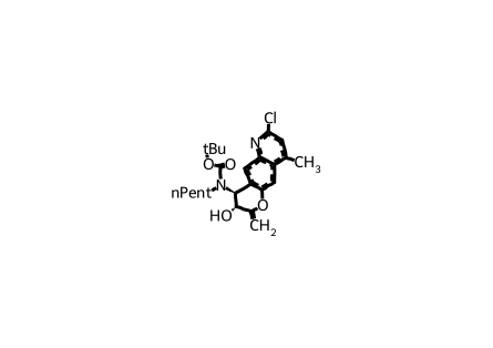 C=C1Oc2cc3c(C)cc(Cl)nc3cc2[C@H](N(CCCCC)C(=O)OC(C)(C)C)[C@H]1O